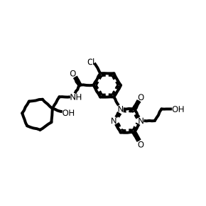 O=C(NCC1(O)CCCCCC1)c1cc(-n2ncc(=O)n(CCO)c2=O)ccc1Cl